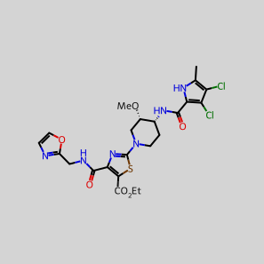 CCOC(=O)c1sc(N2CC[C@@H](NC(=O)c3[nH]c(C)c(Cl)c3Cl)[C@@H](OC)C2)nc1C(=O)NCc1ncco1